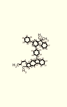 C=C/C=C\c1c(C)sc2cc3c4ccccc4n(-c4ccc(-c5nc(-c6ccccc6)nc6c5-c5ccccc5C6(C)C)cc4)c3cc12